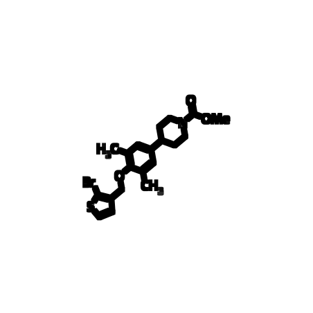 COC(=O)N1CCC(c2cc(C)c(OCc3ccsc3Br)c(C)c2)CC1